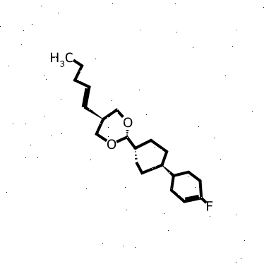 CCC/C=C/[C@H]1CO[C@H]([C@H]2CC[C@H](C3CC=C(F)CC3)CC2)OC1